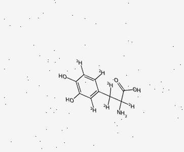 [2H]c1c([2H])c(C([2H])([2H])C([2H])(N)C(=O)O)c([2H])c(O)c1O